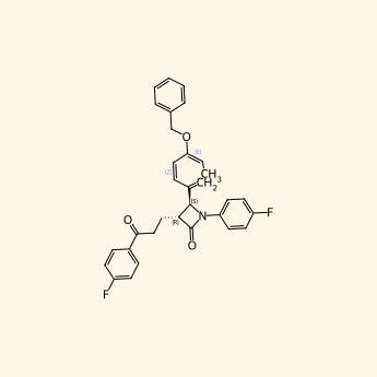 C=C(/C=C\C(=C/C)OCc1ccccc1)[C@@H]1[C@@H](CCC(=O)c2ccc(F)cc2)C(=O)N1c1ccc(F)cc1